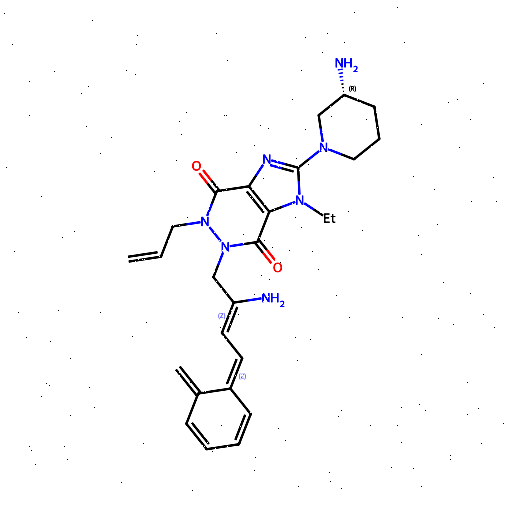 C=CCn1c(=O)c2nc(N3CCC[C@@H](N)C3)n(CC)c2c(=O)n1C/C(N)=C/C=c1/ccccc1=C